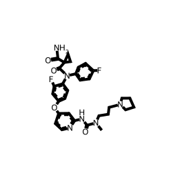 CN(CCCN1CCCC1)C(=O)Nc1cc(Oc2ccc(N(C(=O)C3(C(N)=O)CC3)c3ccc(F)cc3)c(F)c2)ccn1